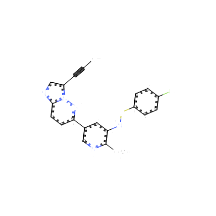 CC#Cc1cnc2ccc(-c3cnc(OC)c(NSc4ccc(F)cc4)c3)nn12